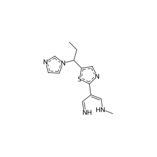 CCC(c1cnc(/C(C=N)=C/NC)s1)n1ccnc1